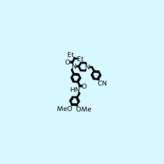 CCC(CC)C(=O)N(Cc1ccc(C(=O)NCc2ccc(OC)c(OC)c2)cc1)C1CCN(Cc2ccc(C#N)cc2)CC1